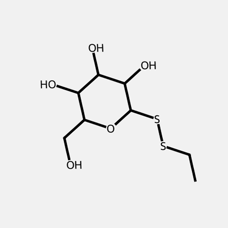 CCSSC1OC(CO)C(O)C(O)C1O